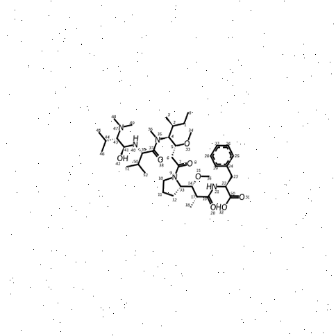 CC[C@H](C)[C@@H]([C@@H](CC(=O)N1CCC[C@H]1[C@H](OC)[C@@H](C)C(=O)N[C@@H](Cc1ccccc1)C(=O)O)OC)N(C)C(=O)[C@@H](N[C@@H](O)[C@H](C(C)C)N(C)C)C(C)C